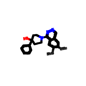 COc1cc2cnnc(N3CCC(O)(c4ccccc4)CC3)c2cc1OC